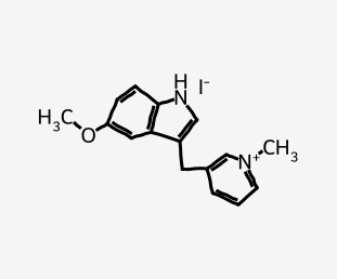 COc1ccc2[nH]cc(Cc3ccc[n+](C)c3)c2c1.[I-]